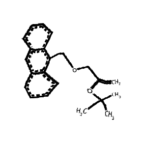 C=C(COCc1c2ccccc2cc2ccccc12)OC(C)(C)C